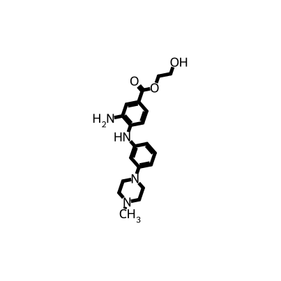 CN1CCN(c2cccc(Nc3ccc(C(=O)OCCO)cc3N)c2)CC1